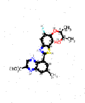 CCOC(=O)c1cnc2c(-c3nc4cc(F)c(O[C@@H](C)[C@@H](C)O)cc4s3)cc(C)cc2n1